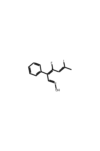 C/C(I)=C/C(F)=C(\C=N\O)c1ccccc1